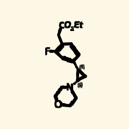 CCOC(=O)Cc1ccc([C@H]2C[C@@H]2N2CCOCC2)cc1F